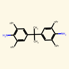 CCCc1cc(C(C)(C)c2cc(CCC)c(N)c(CCC)c2)cc(CCC)c1N